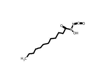 CCCCCCCCCCCC(=O)N(O)N=C=O